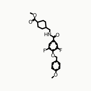 COC(=O)C1CCC(CNC(=O)c2cc(F)c(OCc3ccc(OC)cc3)c(F)c2)CC1